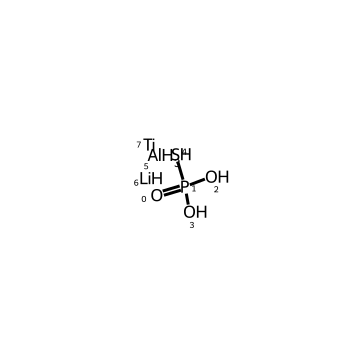 O=P(O)(O)S.[AlH3].[LiH].[Ti]